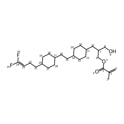 C=C(C)C(=O)OCC(CO)CC1CCC(CCC2CCC(CCC=C(F)F)CC2)CC1